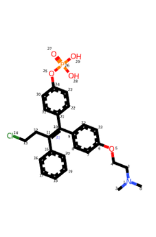 CN(C)CCOc1ccc(/C(=C(/CCCl)c2ccccc2)c2ccc(OP(=O)(O)O)cc2)cc1